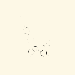 CC(C)N(C)C(=O)c1cc(F)ccc1-n1cc([C@H]2CC[C@@H](N3CCN(CCO)CC3)CC2)c2ccncc21